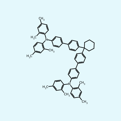 Cc1ccc(N(c2ccc(-c3ccc(C4(c5ccc(-c6ccc(N(c7ccc(C)cc7C)c7ccc(C)cc7C)cc6)cc5)CCCCC4)cc3)cc2)c2ccc(C)cc2C)c(C)c1